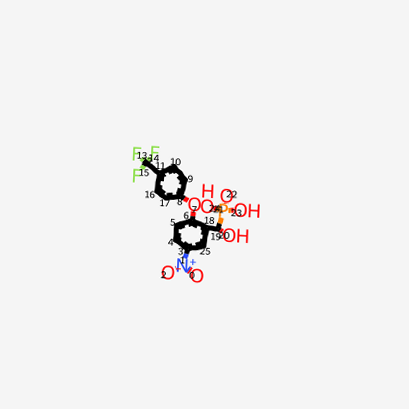 O=[N+]([O-])c1ccc(Oc2ccc(C(F)(F)F)cc2)c(C(O)P(=O)(O)O)c1